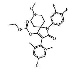 CCOC(=O)OC1=C(c2c(C)cc(Cl)cc2C)C(=O)N(c2ccc(F)c(F)c2)C12CCN(OC)CC2